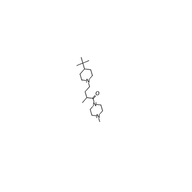 CC(CCN1CCC(C(C)(C)C)CC1)C(=O)N1CCN(C)CC1